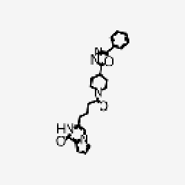 O=C(CCCc1cn2cccc2c(=O)[nH]1)N1CCC(c2nnc(-c3ccccc3)o2)CC1